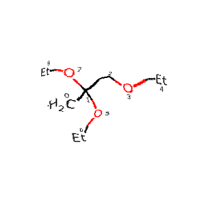 [CH2]C(COCC)(OCC)OCC